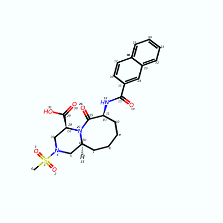 CS(=O)(=O)N1C[C@@H]2CCCC[C@H](NC(=O)c3ccc4ccccc4c3)C(=O)N2[C@H](C(=O)O)C1